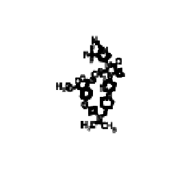 COC(=O)c1ccc(O[C@H]2C[C@H](N(CC3CCN(c4ccc(N5C(=S)N(c6cnc(C#N)c(C(F)(F)F)c6)C(=O)C56CCC6)cn4)CC3)C(C)C)C2)cc1C(=O)OC